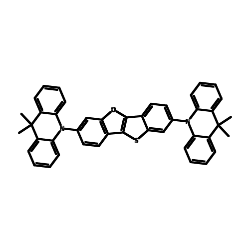 CC1(C)c2ccccc2N(c2ccc3c(c2)oc2c4ccc(N5c6ccccc6C(C)(C)c6ccccc65)cc4sc32)c2ccccc21